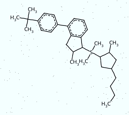 CCCCC1CC(C)C(S(C)(C)C2c3cccc(-c4ccc(C(C)(C)C)cc4)c3CC2C)C1